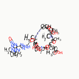 CO[C@@H]1C[C@@H](CC(C)[C@@H]2CC(=O)[C@H](C)/C=C(\C)[C@@H](O)[C@@H](OC)C(=O)[C@H](C)C[C@H](C)/C=C/C=C/C=C(/C)[C@@H](OCCCCNc3ncc(-c4nc(N5CCOCC5)nc5c4nc(C)n5C(C)C)cn3)C[C@@H]3CC[C@@H](C)[C@@](O)(O3)C(=O)C(=O)N3CCCC[C@H]3C(=O)O2)CC[C@H]1O